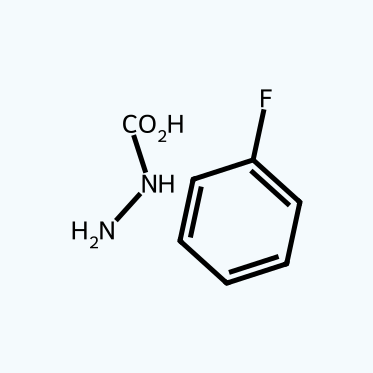 Fc1ccccc1.NNC(=O)O